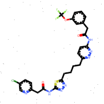 O=C(Cc1cccc(OC(F)(F)F)c1)Nc1ccc(CCCCc2nnc(NC(=O)Cc3ccc(Cl)cn3)s2)nn1